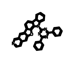 c1ccc(-c2nc(-c3ccccc3)nc(-n3c4ccccc4c4ccc5c6cc7cnccc7cc6oc5c43)n2)cc1